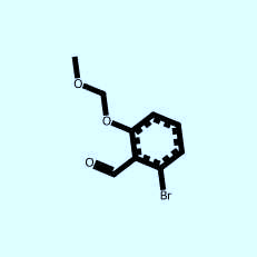 COCOc1cccc(Br)c1C=O